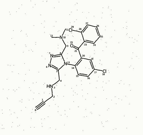 C#CCNCc1nnc(CN(C)C)n1-c1ccc(Cl)cc1C(=O)c1ccccc1Cl